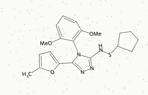 COc1cccc(OC)c1-n1c(NSC2CCCC2)nnc1-c1ccc(C)o1